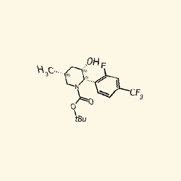 C[C@@H]1C[C@H](O)[C@H](c2ccc(C(F)(F)F)cc2F)N(C(=O)OC(C)(C)C)C1